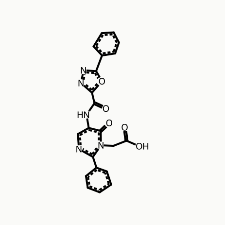 O=C(O)Cn1c(-c2ccccc2)ncc(NC(=O)c2nnc(-c3ccccc3)o2)c1=O